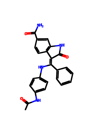 CC(=O)Nc1ccc(NC(=C2C(=O)Nc3cc(C(N)=O)ccc32)c2ccccc2)cc1